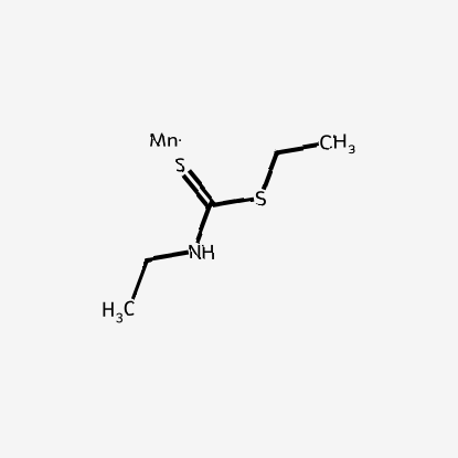 CCNC(=S)SCC.[Mn]